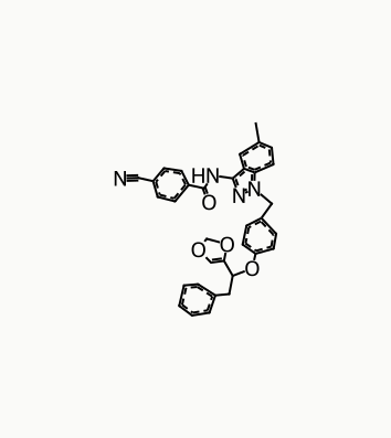 Cc1ccc2c(c1)c(NC(=O)c1ccc(C#N)cc1)nn2Cc1ccc(OC(Cc2ccccc2)C2=COCO2)cc1